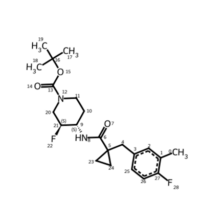 Cc1cc(CC2(C(=O)N[C@H]3CCN(C(=O)OC(C)(C)C)C[C@@H]3F)CC2)ccc1F